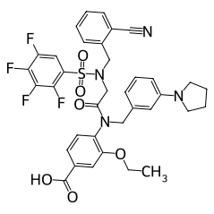 CCOc1cc(C(=O)O)ccc1N(Cc1cccc(N2CCCC2)c1)C(=O)CN(Cc1ccccc1C#N)S(=O)(=O)c1cc(F)c(F)c(F)c1F